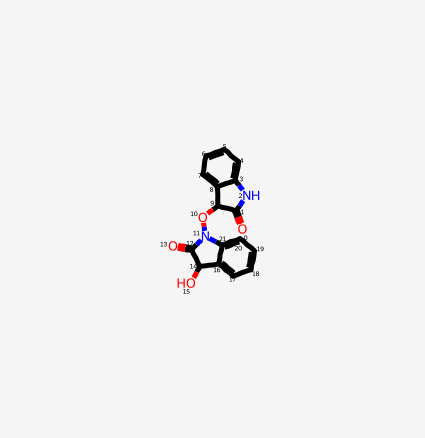 O=C1Nc2ccccc2C1ON1C(=O)C(O)c2ccccc21